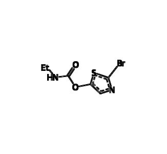 CCNC(=O)Oc1cnc(Br)s1